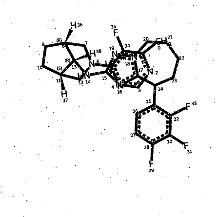 Cc1ncnc(N2C[C@H]3CC[C@@H](C2)[C@H]3Nc2nc3n(n2)CCCCC3c2ccc(F)c(F)c2F)c1F